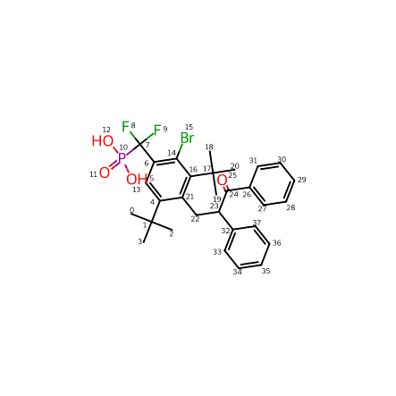 CC(C)(C)c1cc(C(F)(F)P(=O)(O)O)c(Br)c(C(C)(C)C)c1CC(C(=O)c1ccccc1)c1ccccc1